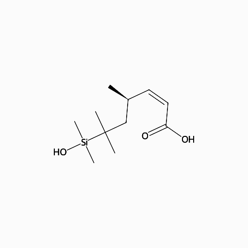 C[C@@H](/C=C\C(=O)O)CC(C)(C)[Si](C)(C)O